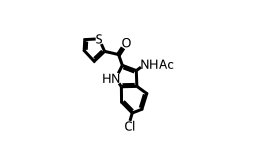 CC(=O)Nc1c(C(=O)c2cccs2)[nH]c2cc(Cl)ccc12